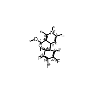 COC(=O)C1=C(C)N(C)C(C)=CC1c1c(F)c(F)c(F)c(F)c1F